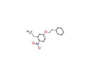 CCc1cc(OCCc2ccccc2)c[c]c1[N+](=O)[O-]